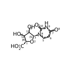 O=C(O)[C@@H]1O[C@H](n2ccc(=O)[nH]c2=O)C(O)C1O